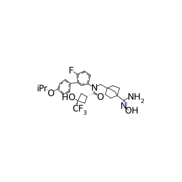 CC(C)Oc1ccc(-c2cc(N(CC34CCC(/C(N)=N/O)(CC3)CC4)C(=O)[C@H]3C[C@](O)(C(F)(F)F)C3)ccc2F)cc1